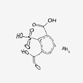 O=C(O)c1cccc(C(=O)O)c1S(=O)(=O)O.[AlH3]